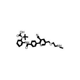 CCNCCOCc1cnc(-c2ccc(C(=O)Nc3ccccc3N(C(=O)O)C(C)(C)C)cc2)c(C#N)c1